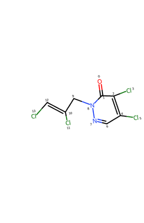 O=c1c(Cl)c(Cl)cnn1CC(Cl)=CCl